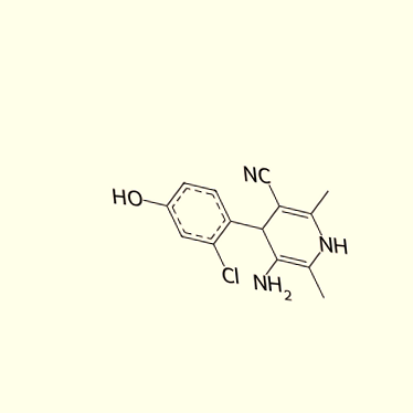 CC1=C(N)C(c2ccc(O)cc2Cl)C(C#N)=C(C)N1